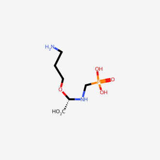 NCCCO[C@H](NCP(=O)(O)O)C(=O)O